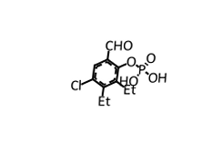 CCc1c(Cl)cc(C=O)c(OP(=O)(O)O)c1CC